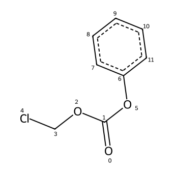 O=C(OCCl)Oc1ccccc1